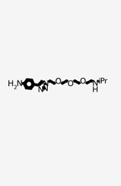 CC(C)NCCOCCOCCOCCn1cc(-c2ccc(N)cc2)nn1